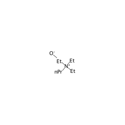 CCC[N+](CC)(CC)CC.C[O-]